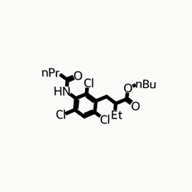 CCCCOC(=O)C(CC)Cc1c(Cl)cc(Cl)c(NC(=O)CCC)c1Cl